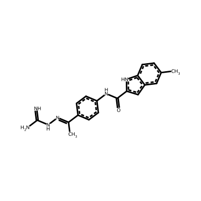 C/C(=N\NC(=N)N)c1ccc(NC(=O)c2cc3cc(C)ccc3[nH]2)cc1